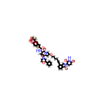 CC(C)(C)[C@H](NC(=O)c1cc2cc(C(F)(F)P(=O)(O)O)ccc2s1)C(=O)N1C[C@@H](OCCCCC#Cc2cccc3c2CN(C2CCC(=O)NC2=O)C3=O)C[C@H]1C(=O)N1CCOC(c2ccccc2)C1